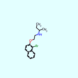 CCC(C)NCCOc1ccc2ccccc2c1Br